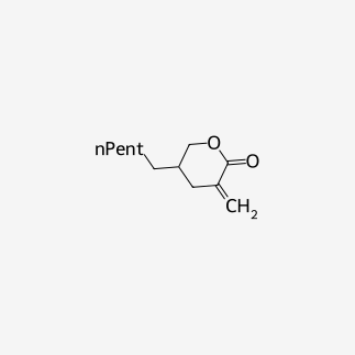 C=C1CC(CCCCCC)COC1=O